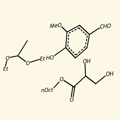 CCCCCCCCOC(=O)C(O)CO.CCOC(C)OCC.COc1cc(C=O)ccc1O